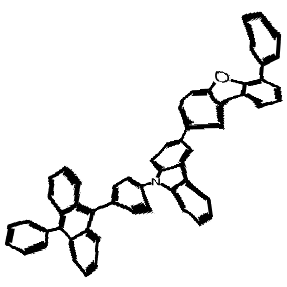 c1ccc(-c2c3ccccc3c(-c3ccc(-n4c5ccccc5c5cc(-c6ccc7oc8c(-c9ccccc9)cccc8c7c6)ccc54)cc3)c3ccccc23)cc1